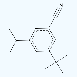 C[C](C)c1cc(C#N)cc(C(C)(C)C)c1